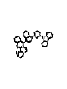 C1=CCC2C(=C1)c1ccccc1N2c1cccc(-c2ccc(-c3c4ccccc4nc4c3ccc3cccnc34)c3ccccc23)c1